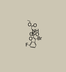 CCOC(=O)CNS(=O)(=O)c1oc2c(F)cccc2c1Br